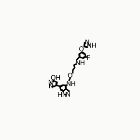 Oc1cc(-c2cc(NCCOCCCCNCc3cc(F)cc(Oc4cn[nH]c4)c3)c3cn[nH]c3c2)cnn1